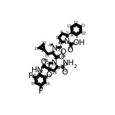 CN(C(=O)[C@@H]1CC[C@@H](c2ccccc2)N1C(=O)O)C(CC1CC1)C(=O)N1C[C@@]2(C[C@H]1C(N)=O)Oc1cc(F)cc(F)c1NC2=O